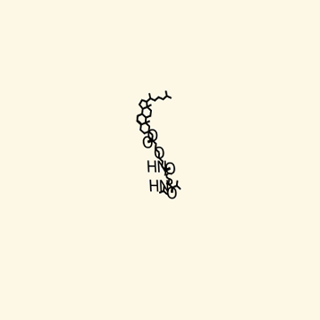 CC(C)CCCC(C)C1CCC2C3CC=C4CCC(OC(=O)CCOCCNC(=O)CSC(NC(C)C)C(=O)C(C)C)CC4(C)C3CCC12C